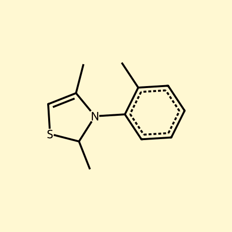 CC1=CSC(C)N1c1ccccc1C